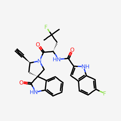 C#C[C@@H]1C[C@@]2(CN1C(=O)[C@H](CC(C)(C)F)NC(=O)c1cc3ccc(F)cc3[nH]1)C(=O)Nc1ccccc12